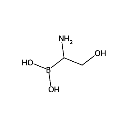 NC(CO)B(O)O